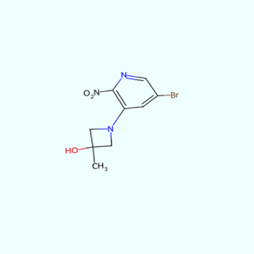 CC1(O)CN(c2cc(Br)cnc2[N+](=O)[O-])C1